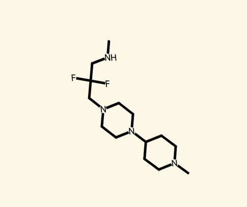 CNCC(F)(F)CN1CCN(C2CCN(C)CC2)CC1